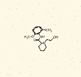 COc1cccc(C)c1NC(=O)C1CCCCN1CCO